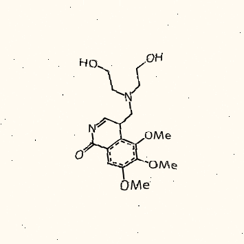 COc1cc2c(c(OC)c1OC)C(CN(CCO)CCO)C=NC2=O